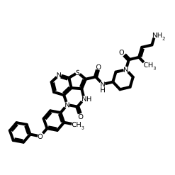 C/C(=C\CN)C(=O)N1CCCC(NC(=O)c2sc3nccc4c3c2NC(=O)N4c2ccc(Oc3ccccc3)cc2C)C1